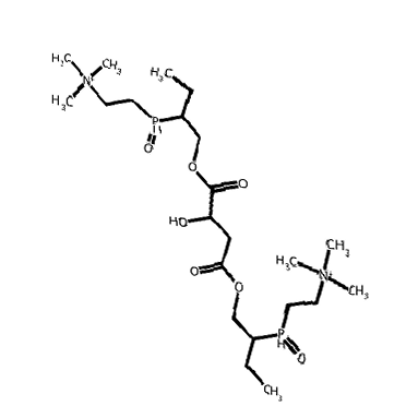 CCC(COC(=O)CC(O)C(=O)OCC(CC)[PH](=O)CC[N+](C)(C)C)[PH](=O)CC[N+](C)(C)C